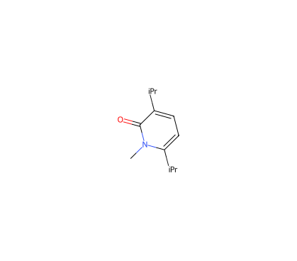 CC(C)c1ccc(C(C)C)n(C)c1=O